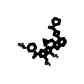 CC[C@@H]1CCCN(C(=O)c2cc(OC)c3c(c2)nc(-c2cc4cccc(C5CC(C(=O)N6CCCC6)C5)c4n2CC2CC2)n3C)C1